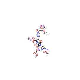 BOC(=C/C(=C)C(=O)N1CC[N+]2(CC3=C(C(=O)OP)N4C(=O)[C@@H](NC(=O)/C(=N\OC(C)(C)C(=O)OC(C)(C)C)c5csc(NC(=O)OC(C)(C)C)n5)[C@H]4[S+]([O-])C3)CCC1CC2)/C(=C\C)OP